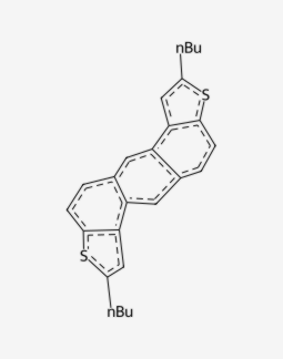 CCCCc1cc2c(ccc3cc4c(ccc5sc(CCCC)cc54)cc32)s1